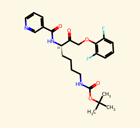 CC(C)(C)OC(=O)NCCCC[C@H](NC(=O)c1cccnc1)C(=O)COc1c(F)cccc1F